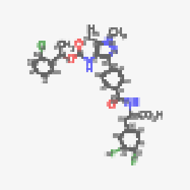 Cc1c(NC(=O)OC(C)c2ccccc2Cl)c(-c2ccc(C(=O)NC(Cc3ccc(F)c(F)c3)C(=O)O)cc2)nn1C